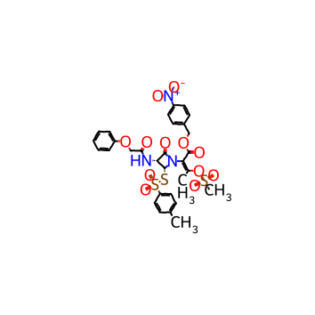 C/C(OS(C)(=O)=O)=C(/C(=O)OCc1ccc([N+](=O)[O-])cc1)N1C(=O)[C@@H](NC(=O)COc2ccccc2)[C@H]1SS(=O)(=O)c1ccc(C)cc1